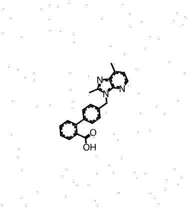 Cc1ccnc2c1nc(C)n2Cc1ccc(-c2ccccc2C(=O)O)cc1